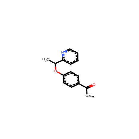 COC(=O)c1ccc(OC(C)c2ccccn2)cc1